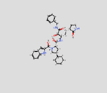 O=C(NCc1ccccc1)C(=O)[C@H](CC[C@@H]1CCNC1=O)NC(=O)[C@@H]1C[C@@H](C2CCCCC2)CN1C(=O)c1cc2ccccc2[nH]1